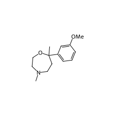 COc1cccc(C2(C)CCN(C)CCO2)c1